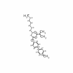 C=C(C)C(=O)OC(CCCCCCCCC)Oc1ccc(-c2ccc(C)cc2)cc1